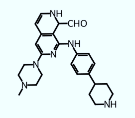 CN1CCN(c2cc3c(c(Nc4ccc(C5CCNCC5)cc4)n2)C(C=O)NC=C3)CC1